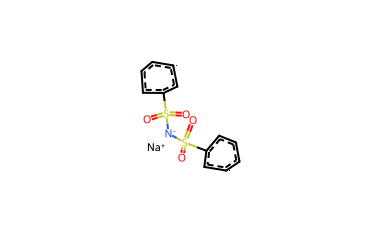 O=S(=O)([N-]S(=O)(=O)c1c[c]ccc1)c1c[c]ccc1.[Na+]